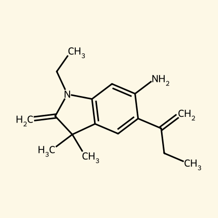 C=C(CC)c1cc2c(cc1N)N(CC)C(=C)C2(C)C